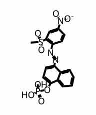 CS(=O)(=O)c1cc([N+](=O)[O-])ccc1N=Nc1ccc(OP(=O)(O)O)c2ccccc12